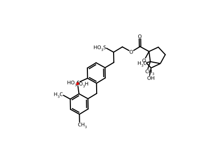 Cc1cc(C)c(S(=O)(=O)O)c(Cc2cc(CC(COC(=O)C34CCC(C(O)O3)C4(C)C)S(=O)(=O)O)ccc2S(=O)(=O)O)c1